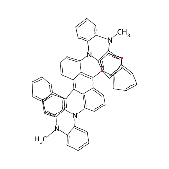 CN1c2ccccc2N(c2cccc3c(-c4cccc5ccccc45)c4c(N5c6ccccc6N(C)c6ccccc65)cccc4c(-c4cccc5ccccc45)c23)c2ccccc21